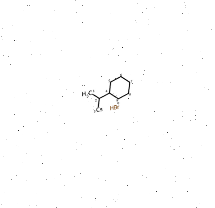 Br.C[CH]([Cs])C1CCCCC1